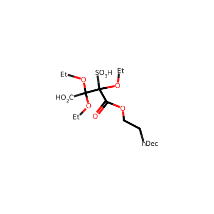 CCCCCCCCCCCCOC(=O)C(OCC)(C(OCC)(OCC)C(=O)O)S(=O)(=O)O